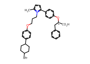 CCCC1CCC(c2ccc(OCCCn3c(C)ccc3-c3ccc(O[C@H](Cc4ccccc4)C(=O)O)cc3)cc2)CC1